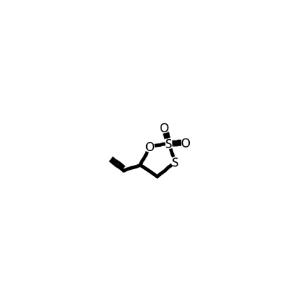 C=CC1CSS(=O)(=O)O1